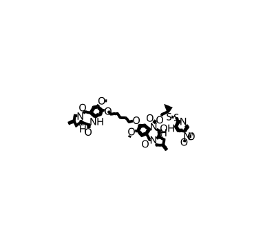 C=C1C[C@H]2C(=O)Nc3cc(OCCCCCOc4cc5c(cc4OC)C(=O)N4CC(=C)C[C@H]4[C@H](O)N5C(=O)OCC4(SSc5ccc([N+](=O)[O-])cn5)CC4)c(OC)cc3C(=O)N2C1